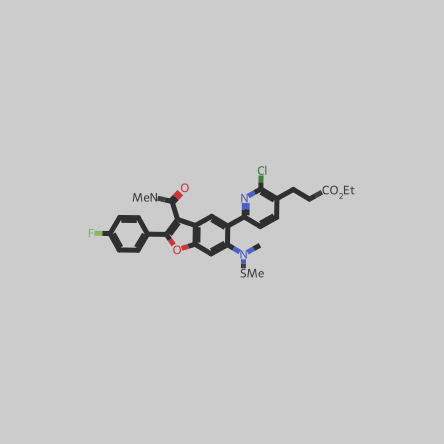 CCOC(=O)CCc1ccc(-c2cc3c(C(=O)NC)c(-c4ccc(F)cc4)oc3cc2N(C)SC)nc1Cl